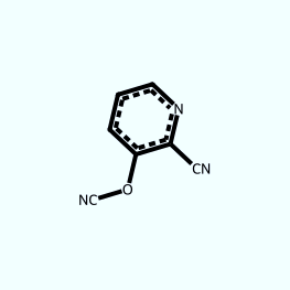 N#COc1cccnc1C#N